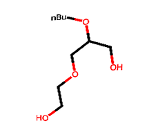 CCCCOC(CO)COCCO